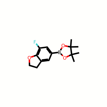 CC1(C)OB(c2cc(F)c3c(c2)CCO3)OC1(C)C